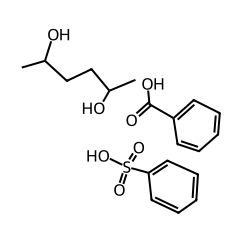 CC(O)CCC(C)O.O=C(O)c1ccccc1.O=S(=O)(O)c1ccccc1